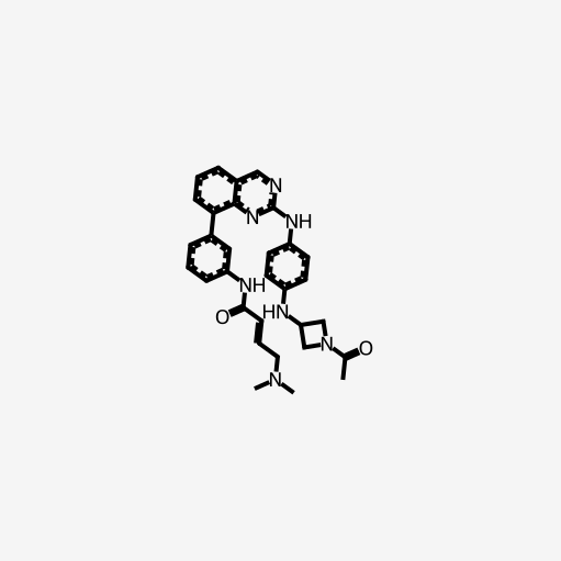 CC(=O)N1CC(Nc2ccc(Nc3ncc4cccc(-c5cccc(NC(=O)C=CCN(C)C)c5)c4n3)cc2)C1